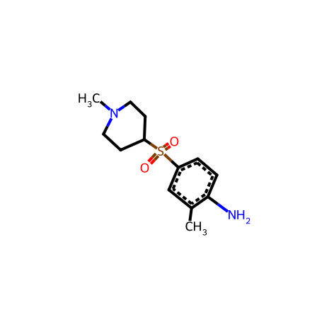 Cc1cc(S(=O)(=O)C2CCN(C)CC2)ccc1N